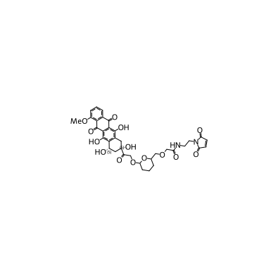 COc1cccc2c1C(=O)c1c(O)c3c(c(O)c1C2=O)C[C@@](O)(C(=O)COC1CCCC(COCC(=O)NCCN2C(=O)C=CC2=O)O1)C[C@@H]3O